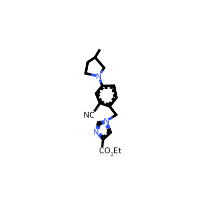 CCOC(=O)c1cn(Cc2ccc(N3CCC(C)C3)cc2C#N)cn1